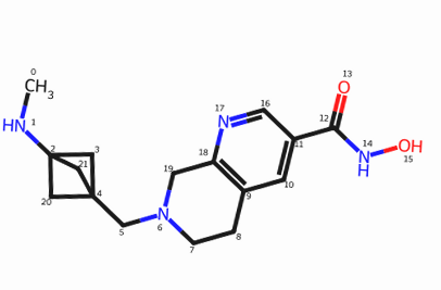 CNC12CC(CN3CCc4cc(C(=O)NO)cnc4C3)(C1)C2